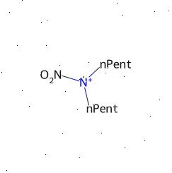 CCCCC[N+](CCCCC)[N+](=O)[O-]